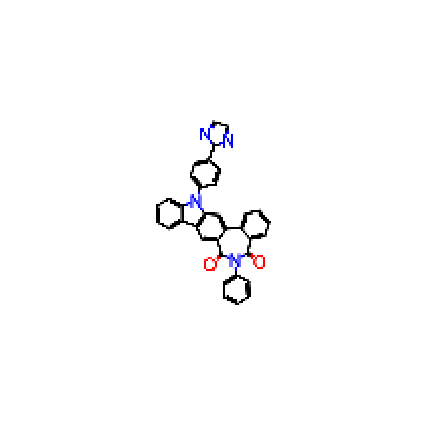 O=c1c2ccccc2c2cc3c(cc2c(=O)n1-c1ccccc1)c1ccccc1n3-c1ccc(C2N=CC=N2)cc1